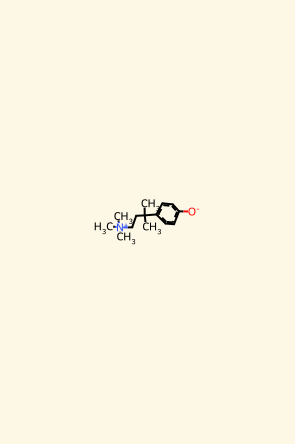 CC(C)(CC[N+](C)(C)C)c1ccc([O-])cc1